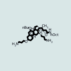 CCCCCCCCNC(=O)CC[C@@H](C)[C@H]1CC[C@H]2C3C(OCCCC)CC4C[C@H](OCCCN)CC[C@]4(C)[C@H]3C[C@H](OCCCN)[C@]12C